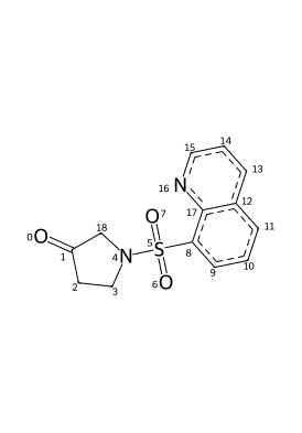 O=C1CCN(S(=O)(=O)c2cccc3cccnc23)C1